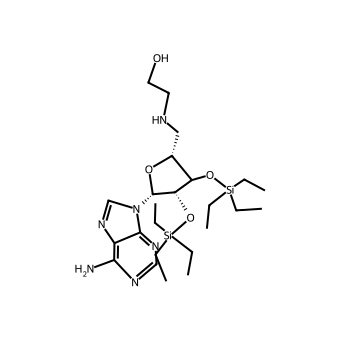 CC[Si](CC)(CC)OC1[C@@H](CNCCO)O[C@@H](n2cnc3c(N)ncnc32)[C@H]1O[Si](CC)(CC)CC